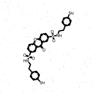 O=c1c2cc(S(=O)(=O)NCCc3ccc(S)cc3)ccc2oc2ccc(S(=O)(=O)NCCc3ccc(S)cc3)cc12